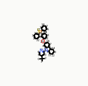 CC(C)(C)c1ccnc(-n2c3ccccc3c3ccc(Oc4cccc(P(=S)(c5ccccc5)c5ccccc5)c4)cc32)c1